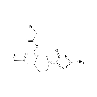 CC(C)CC(=O)OC[C@@H]1O[C@H](n2ccc(N)nc2=O)CCC1OC(=O)CC(C)C